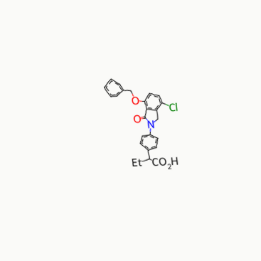 [CH2]CC(C(=O)O)c1ccc(N2Cc3c(Cl)ccc(OCc4ccccc4)c3C2=O)cc1